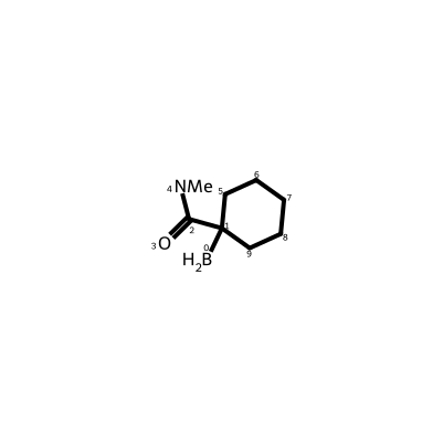 BC1(C(=O)NC)CCCCC1